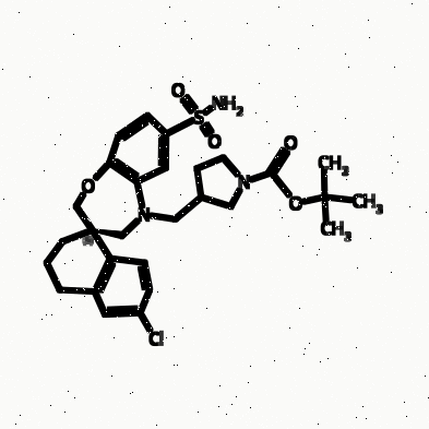 CC(C)(C)OC(=O)N1CCC(CN2C[C@@]3(CCCc4cc(Cl)ccc43)COc3ccc(S(N)(=O)=O)cc32)C1